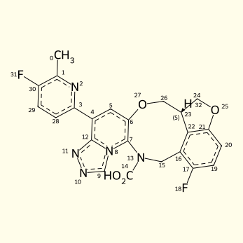 Cc1nc(-c2cc3c(n4cnnc24)N(C(=O)O)Cc2c(F)ccc4c2[C@@H](CO4)CO3)ccc1F